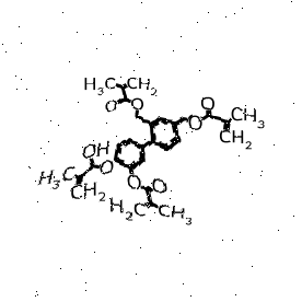 C=C(C)C(=O)OCc1ccc(-c2ccc(OC(O)C(=C)C)c(OC(=O)C(=C)C)c2)c(COC(=O)C(=C)C)c1